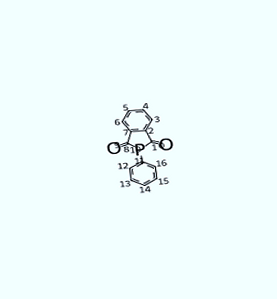 O=C1c2ccccc2C(=O)P1c1ccccc1